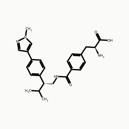 CC(C)[C@@H](CNC(=O)c1ccc(C[C@H](N)C(=O)O)cc1)c1ccc(-c2cnn(C)c2)cc1